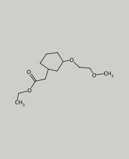 CCOC(=O)CC1CCCC(OCCOC)C1